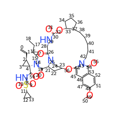 C=C[C@@H]1C[C@@]1(C(=O)NS(=O)(=O)C1CC1)N(CCCC)C(=O)C1CC2CN1C(=O)CNC(=O)OC1CCCC1CCCCCn1c(cc3cc(OC)ccc3c1=O)O2